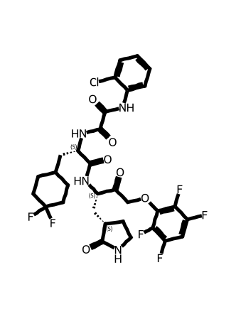 O=C(Nc1ccccc1Cl)C(=O)N[C@@H](CC1CCC(F)(F)CC1)C(=O)N[C@@H](C[C@@H]1CCNC1=O)C(=O)COc1c(F)c(F)cc(F)c1F